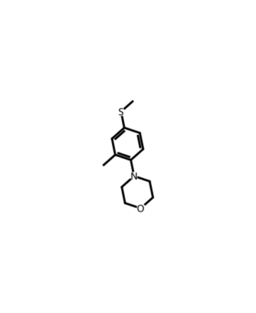 CSc1ccc(N2CCOCC2)c(C)c1